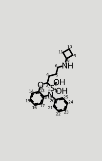 OS1(O)C(CCCNC2CCC2)Oc2ccccc2N1c1ccccc1